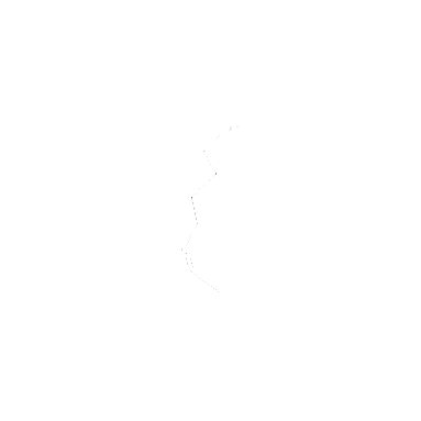 C/C=N\CCCCCCCC